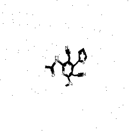 COc1nc(NC(C)=O)c(C#N)c(-c2cccs2)c1C#N